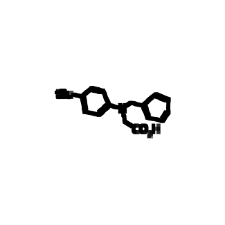 CC(C)(C)c1ccc(N(CC(=O)O)Cc2ccccc2)cc1